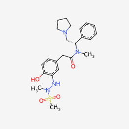 CN(C(=O)Cc1ccc(O)c(NN(C)S(C)(=O)=O)c1)[C@H](CN1CCCC1)c1ccccc1